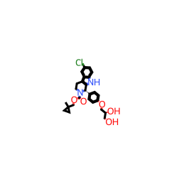 CC1(COC(=O)N2CCc3c([nH]c4ccc(Cl)cc34)[C@@H]2c2ccc(OC[C@@H](O)CO)cc2)CC1